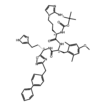 COc1cc(C)c(C[C@H](NC(=O)[C@@H](CCCn2ccnc2N)NC(=O)OC(C)(C)C)C(=O)N[C@@H](CCc2c[nH]cn2)c2nc(Cc3ccc(-c4ccccc4)cc3)no2)c(C)c1